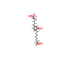 CC(C)(CCCCCCc1ccc(CCCCC(C)(C)C(=O)O)cc1O)C(=O)O